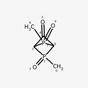 CP1(=O)C2C(=O)C1P2(C)=O